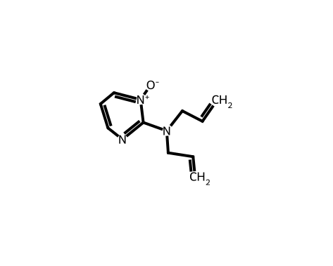 C=CCN(CC=C)c1nccc[n+]1[O-]